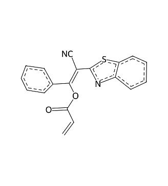 C=CC(=O)OC(=C(C#N)c1nc2ccccc2s1)c1ccccc1